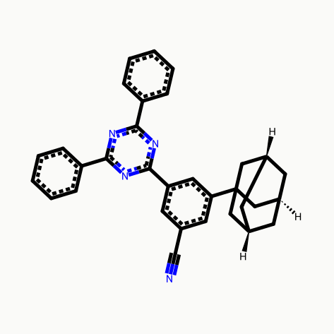 N#Cc1cc(-c2nc(-c3ccccc3)nc(-c3ccccc3)n2)cc(C23C[C@H]4C[C@@H](C2)C[C@@H](C3)C4)c1